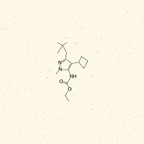 CCOC(=O)Nc1c(C2CCC2)c(CC(C)(C)C)nn1C